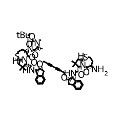 C[C@@H](C(=O)N[C@H]1CCS[C@H]2CC(C)(C)[C@@H](C(=O)N[C@H]3c4ccccc4C[C@H]3OCC#CC#CCO[C@@H]3Cc4ccccc4[C@@H]3NC(=O)[C@H]3N4C(=O)[C@@H](N)CCS[C@H]4CC3(C)C)N2C1=O)N(C)C(=O)OC(C)(C)C